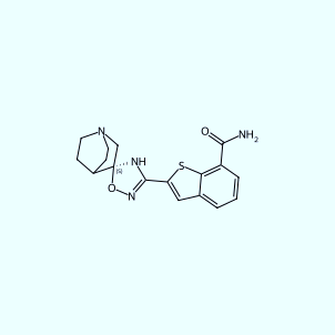 NC(=O)c1cccc2cc(C3=NO[C@@]4(CN5CCC4CC5)N3)sc12